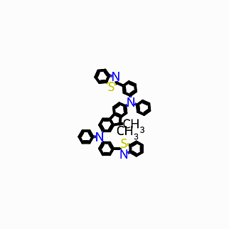 CC1(C)c2cc(N(c3ccccc3)c3cccc(-c4nc5ccccc5s4)c3)ccc2-c2ccc(N(c3ccccc3)c3cccc(-c4nc5ccccc5s4)c3)cc21